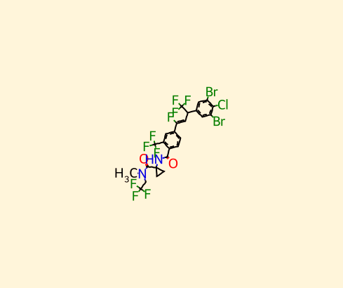 CN(CC(F)(F)F)C(=O)C1(NC(=O)c2ccc(C(F)=CC(c3cc(Br)c(Cl)c(Br)c3)C(F)(F)F)cc2C(F)(F)F)CC1